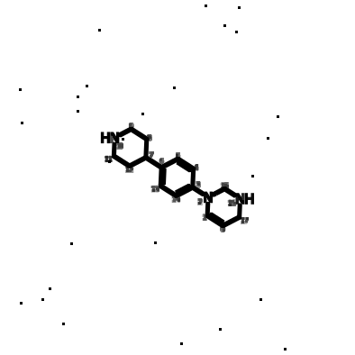 C1=CN(c2ccc(C3CCNCC3)cc2)CNC1